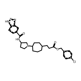 O=C(CCC1CCCC(N2CCC(NC(=O)c3ccc4[nH]nnc4c3)C2)CC1)OCc1ccc(Cl)cc1